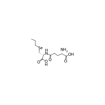 CCC[Se]C[C@H](NC(=O)CC[C@H](N)C(=O)O)C(=O)O